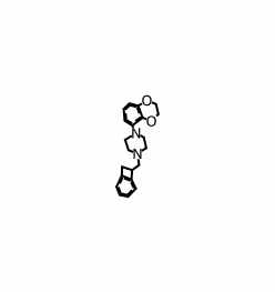 c1ccc2c(c1)CC2CN1CCN(c2cccc3c2OCCO3)CC1